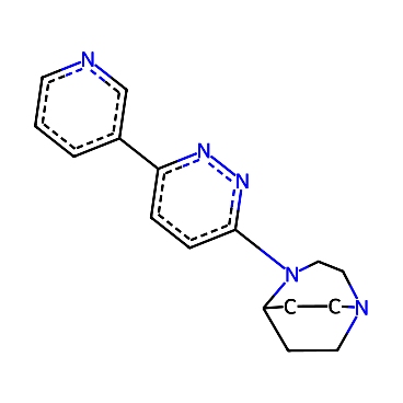 c1cncc(-c2ccc(N3CCN4CCC3CC4)nn2)c1